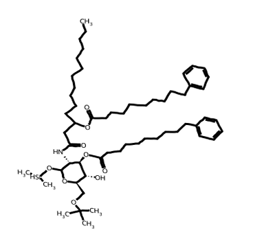 CCCCCCCCCCCC(CC(=O)N[C@H]1C(O[SiH](C)C)O[C@H](COC(C)(C)C)[C@@H](O)[C@@H]1OC(=O)CCCCCCCCCc1ccccc1)OC(=O)CCCCCCCCCc1ccccc1